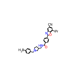 Bc1ccc(CN2CCC(CNC(=O)c3ccc(-c4nc5cc(C#N)cc(C(C)C)c5o4)cc3)C2)cc1